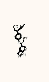 CC#CC(CC(=O)O)c1ccc(O[C@@H](CC(C)C)c2cnc3[nH]ncc3c2)cc1